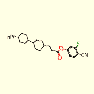 CCCC1CCC(C2CCC(CCC(=O)Oc3ccc(C#N)c(F)c3)CC2)CC1